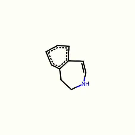 C1=Cc2ccccc2CCN1